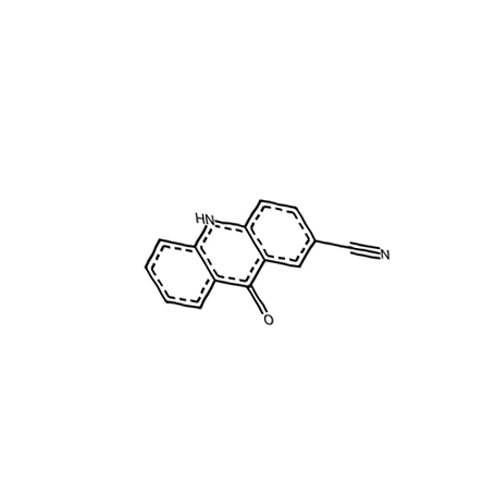 N#Cc1ccc2[nH]c3ccccc3c(=O)c2c1